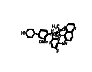 COc1cc(C2CCNCC2)ccc1Nc1ncc(F)c(Nc2ccc3nccnc3c2NS(C)(=O)=O)n1